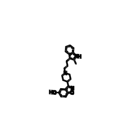 Cc1[nH]c2ccccc2c1CCCN1CCC(c2noc3ccc(O)cc23)CC1